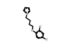 Clc1ccc(OCCCCn2cccc2)c(Cl)c1